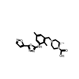 Cc1cc(CN2CCN(C(=O)O)[C@@H](C)C2)c(C)c(Nc2nnc(-c3ccno3)o2)c1